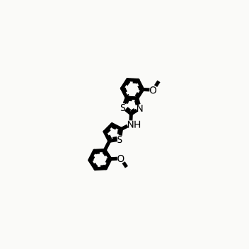 COc1ccccc1-c1ccc(Nc2nc3c(OC)cccc3s2)s1